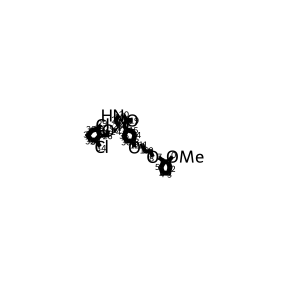 COc1ccccc1COCCCOc1ccc(N2C(=O)CNC[C@@H]2COCc2c(Cl)cccc2Cl)cc1